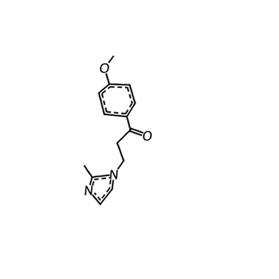 COc1ccc(C(=O)CCn2ccnc2C)cc1